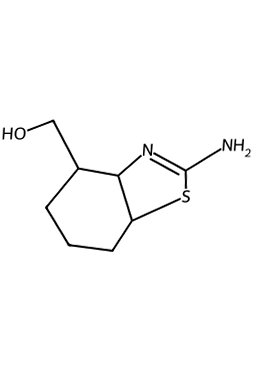 NC1=NC2C(CO)CCCC2S1